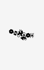 O=C(c1cnccc1CN1C(=O)N(c2ccc(SC(F)(F)F)cc2)C(=O)C12CC2)N1CCN(c2ccccc2)CC1